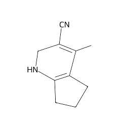 CC1=C(C#N)CNC2=C1CCC2